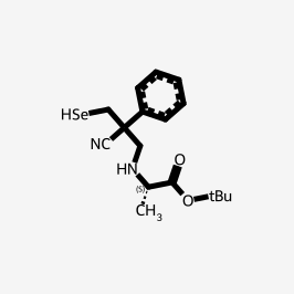 C[C@H](NCC(C#N)(C[SeH])c1ccccc1)C(=O)OC(C)(C)C